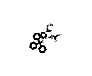 CCCC(=O)NC[C@@H]1[C@H](SC(c2ccccc2)(c2ccccc2)c2ccccc2)CCN1C(=O)OC(C)(C)C